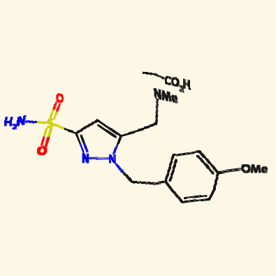 CC(=O)O.CNCc1cc(S(N)(=O)=O)nn1Cc1ccc(OC)cc1